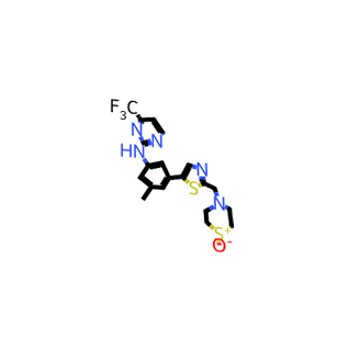 Cc1cc(Nc2nccc(C(F)(F)F)n2)cc(-c2cnc(CN3CC[S+]([O-])CC3)s2)c1